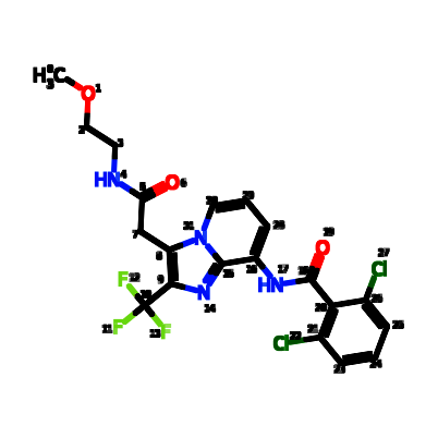 COCCNC(=O)Cc1c(C(F)(F)F)nc2c(NC(=O)c3c(Cl)cccc3Cl)cccn12